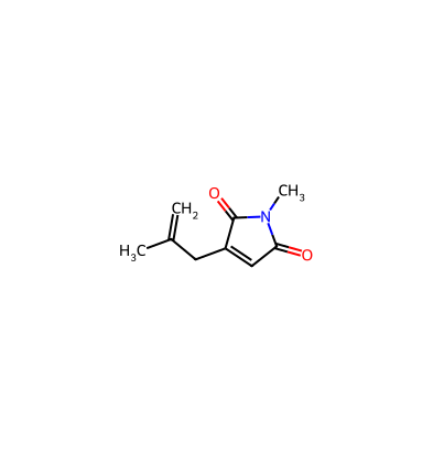 C=C(C)CC1=CC(=O)N(C)C1=O